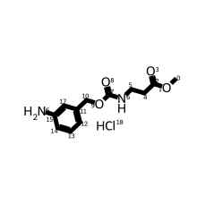 COC(=O)CCNC(=O)OCc1cccc(N)c1.Cl